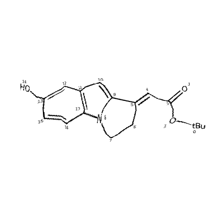 CC(C)(C)OC(=O)C=C1CCn2c1cc1cc(O)ccc12